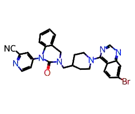 N#Cc1cc(N2C(=O)N(CC3CCN(c4ncnc5cc(Br)ccc45)CC3)Cc3ccccc32)ccn1